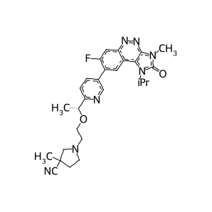 CC(C)n1c(=O)n(C)c2nnc3cc(F)c(-c4ccc([C@@H](C)OCCN5CCC(C)(C#N)C5)nc4)cc3c21